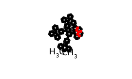 CC1(C)c2ccccc2N(c2ccc(-c3cc4c5c(c3)N(c3ccccc3-c3ccccc3)c3c(cccc3-c3ccccc3)B5c3cc([Si](c5ccccc5)(c5ccccc5)c5ccccc5)ccc3N4c3ccc([Si](c4ccccc4)(c4ccccc4)c4ccccc4)cc3)cc2)c2ccccc21